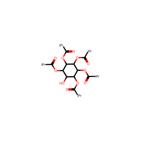 CC(C)C(=O)OC1C(O)C(OC(=O)C(C)C)C(OC(=O)C(C)C)C(OC(=O)C(C)C)C1OC(=O)C(C)C